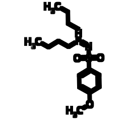 CCCC[PH](CCCC)=NS(=O)(=O)c1ccc(OC)cc1